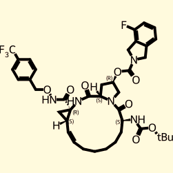 CC(C)(C)OC(=O)N[C@H]1CCCCCC=C[C@@H]2C[C@@]2(C(=O)NOCc2ccc(C(F)(F)F)cc2)NC(=O)[C@@H]2C[C@@H](OC(=O)N3Cc4cccc(F)c4C3)CN2C1=O